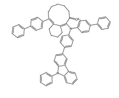 C=C1CCCCC/C(c2ccc(-c3ccccc3)cc2)=C2/CCCC/C2=C/1N(c1ccc(-c2ccccc2)cc1)c1ccc(-c2ccc3c(c2)c2ccccc2n3-c2ccccc2)cc1